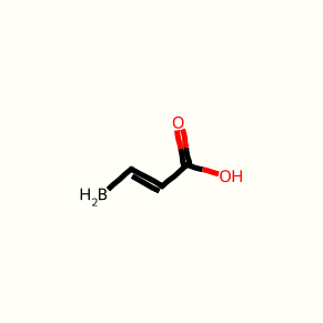 B/C=C/C(=O)O